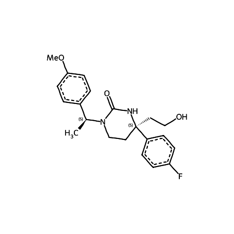 COc1ccc([C@H](C)N2CC[C@](CCO)(c3ccc(F)cc3)NC2=O)cc1